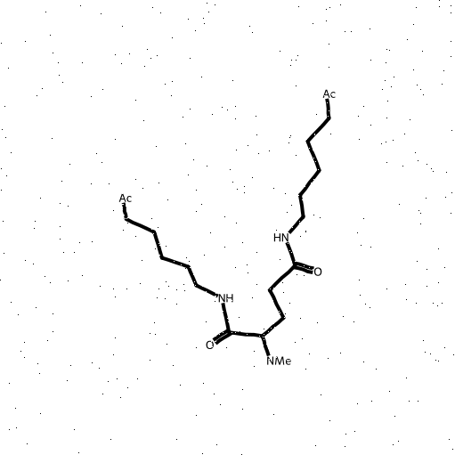 CNC(CCC(=O)NCCCCCC(C)=O)C(=O)NCCCCCC(C)=O